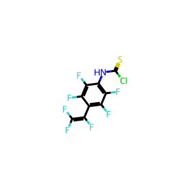 FC(F)=C(F)c1c(F)c(F)c(NC(=S)Cl)c(F)c1F